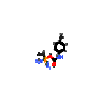 CC(=O)O[PH](N)(N)OC(=O)Nc1ccc(C(C)=O)cc1